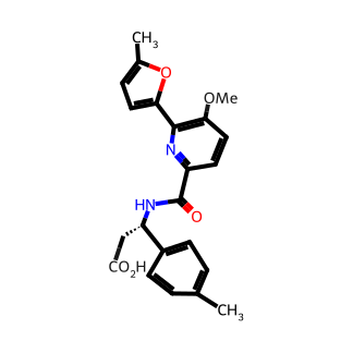 COc1ccc(C(=O)N[C@@H](CC(=O)O)c2ccc(C)cc2)nc1-c1ccc(C)o1